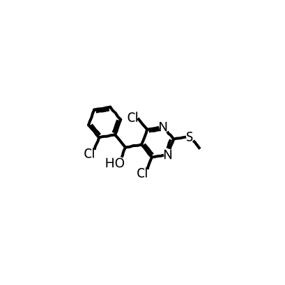 CSc1nc(Cl)c(C(O)c2ccccc2Cl)c(Cl)n1